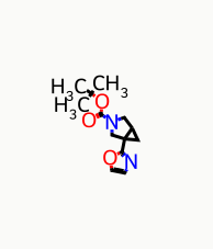 CC(C)(C)OC(=O)N1CC2CC2(c2ncco2)C1